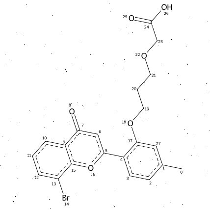 Cc1ccc(-c2cc(=O)c3cccc(Br)c3o2)c(OCCCOCC(=O)O)c1